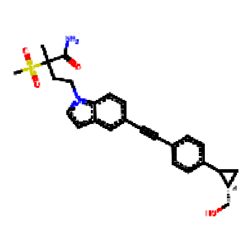 CC(CCn1ccc2cc(C#Cc3ccc(C4C[C@@H]4CO)cc3)ccc21)(C(N)=O)S(C)(=O)=O